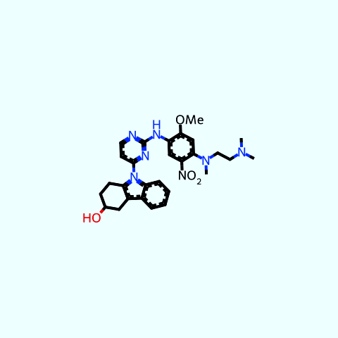 COc1cc(N(C)CCN(C)C)c([N+](=O)[O-])cc1Nc1nccc(-n2c3c(c4ccccc42)CC(O)CC3)n1